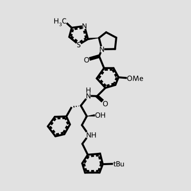 COc1cc(C(=O)N[C@@H](Cc2ccccc2)[C@@H](O)CNCc2cccc(C(C)(C)C)c2)cc(C(=O)N2CCC[C@@H]2c2nc(C)cs2)c1